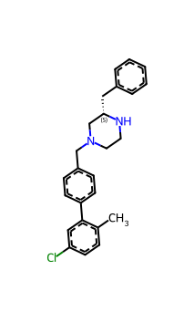 Cc1ccc(Cl)cc1-c1ccc(CN2CCN[C@@H](Cc3ccccc3)C2)cc1